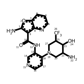 Nc1oc2cccnc2c1C(=O)Nc1cnccc1N1CC(N)C(O)C(C(F)(F)F)C1